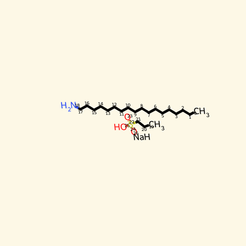 CCCCCCCCCCCCCCCCCCN.CCCS(=O)(=O)O.[NaH]